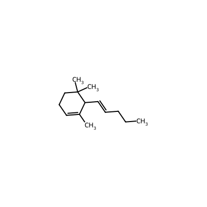 CCCC=CC1C(C)=CCCC1(C)C